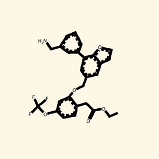 CCOC(=O)Cc1ccc(OC(F)(F)F)cc1OCc1cc(-c2cccc(CN)c2)c2occc2c1